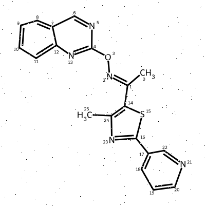 C/C(=N\Oc1ncc2ccccc2n1)c1sc(-c2cccnc2)nc1C